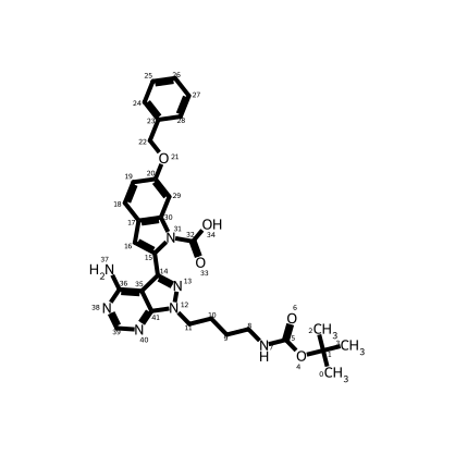 CC(C)(C)OC(=O)NCCCCn1nc(-c2cc3ccc(OCc4ccccc4)cc3n2C(=O)O)c2c(N)ncnc21